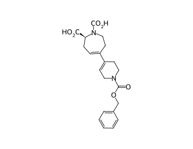 O=C(O)[C@@H]1CC=C(C2=CCN(C(=O)OCc3ccccc3)CC2)CCN1C(=O)O